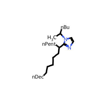 CCCCCCCCCCCCCCCC(CCCCC)c1nccn1C(C)CCCC